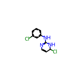 Clc1cccc(NC2=NC=CC(Cl)N2)c1